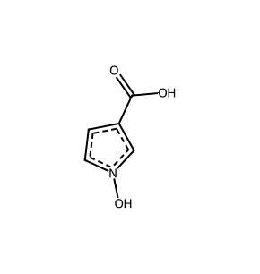 O=C(O)c1ccn(O)c1